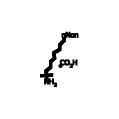 CC(=O)O.CCCCCCCCCCCCCCCCCC(C)(C)N